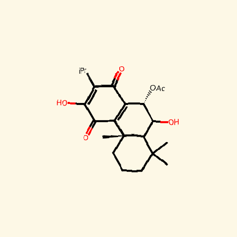 CC(=O)O[C@H]1C2=C(C(=O)C(O)=C(C(C)C)C2=O)[C@@]2(C)CCCC(C)(C)C2C1O